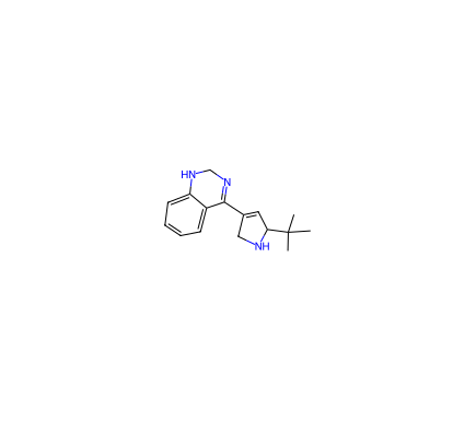 CC(C)(C)C1C=C(C2=NCNc3ccccc32)CN1